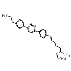 C=CCc1ccc(-c2ccc(-c3ccc(C=CCCCC(C)OCCCCC)cc3)nn2)cc1